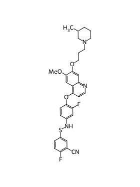 COc1cc2c(Oc3ccc(NSc4ccc(F)c(C#N)c4)cc3F)ccnc2cc1OCCCN1CCCC(C)C1